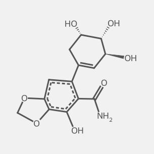 NC(=O)c1c(C2=C[C@H](O)[C@@H](O)[C@@H](O)C2)cc2c(c1O)OCO2